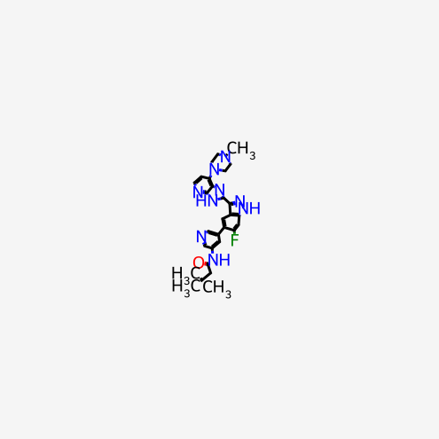 CN1CCN(c2ccnc3[nH]c(-c4n[nH]c5cc(F)c(-c6cncc(NC(=O)CC(C)(C)C)c6)cc45)nc23)CC1